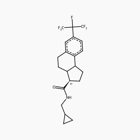 O=C(NCC1CC1)[C@@H]1CCC2c3ccc(C(F)(C(F)(F)F)C(F)(F)F)cc3CCC21